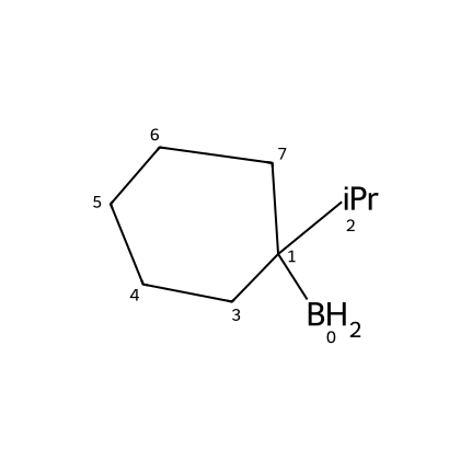 BC1(C(C)C)CCCCC1